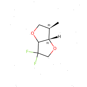 C[C@@H]1COC2[C@H]1OCC2(F)F